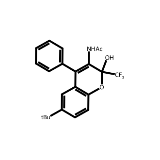 CC(=O)NC1=C(c2ccccc2)c2cc(C(C)(C)C)ccc2OC1(O)C(F)(F)F